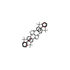 CC1(C)c2ccccc2-c2ccc(N3CCN(c4ccc5c(c4)C(C)(C)c4ccccc4-5)C3=C3N(c4ccc5c(c4)C(C)(C)c4ccccc4-5)CCN3c3ccc4c(c3)C(C)(C)c3ccccc3-4)cc21